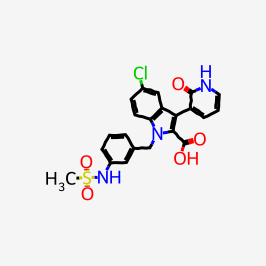 CS(=O)(=O)Nc1cccc(Cn2c(C(=O)O)c(-c3ccc[nH]c3=O)c3cc(Cl)ccc32)c1